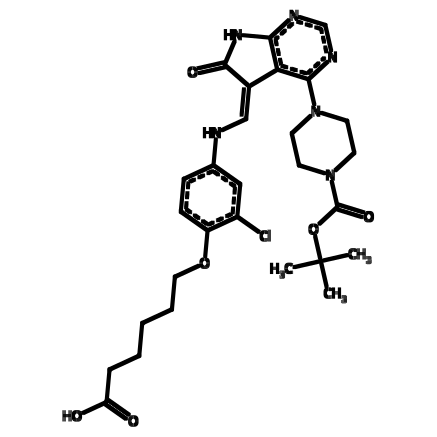 CC(C)(C)OC(=O)N1CCN(c2ncnc3c2/C(=C/Nc2ccc(OCCCCCC(=O)O)c(Cl)c2)C(=O)N3)CC1